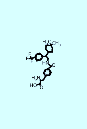 CC1(C)CCC(C(CNC(=O)c2ccc(CC(N)C(=O)O)cc2)c2ccc(C(F)(F)F)cc2)CC1